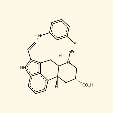 C=Cc1[nH]c2cccc3c2c1C[C@@H]1[C@@H]3C[C@@H](C(=O)O)CN1CCC.Nc1cccc(F)c1